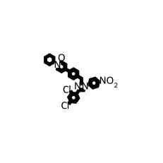 O=c1cc(-c2ccc(Cc3nc(-c4ccc(Cl)cc4Cl)cn3-c3ccc([N+](=O)[O-])cc3)cc2)ccn1C1CCCCC1